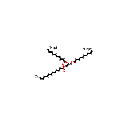 CCCCCCC/C=C\CCCCCCCC(=O)OC[C@H](COC(=O)CCCCCCCCC/C=C\CCCCCCCC)OC(=O)CCCCCCC/C=C\CCCCCCC